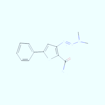 CN(C)/N=N/c1cc(-c2ccccc2)[se]c1C(N)=O